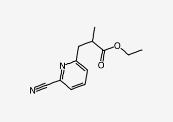 CCOC(=O)C(C)Cc1cccc(C#N)n1